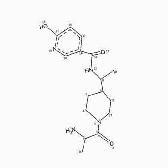 CC(N)C(=O)N1CCC(C(C)NC(=O)c2ccc(O)nc2)CC1